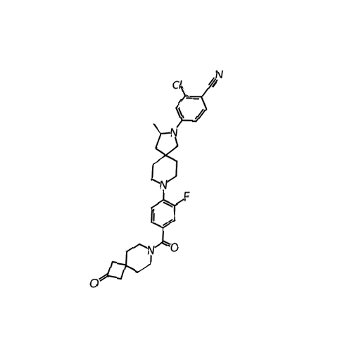 CC1CC2(CCN(c3ccc(C(=O)N4CCC5(CC4)CC(=O)C5)cc3F)CC2)CN1c1ccc(C#N)c(Cl)c1